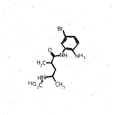 CC(CC(C)C(=O)Nc1cc(Br)ccc1N)NC(=O)O